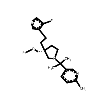 CCOC[C@]1(CCc2cscc2F)CCN(C(C)(C)c2ccc(C)nc2)C1